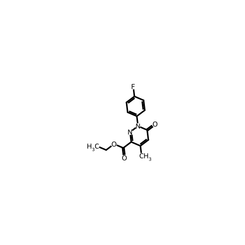 CCOC(=O)c1nn(-c2ccc(F)cc2)c(=O)cc1C